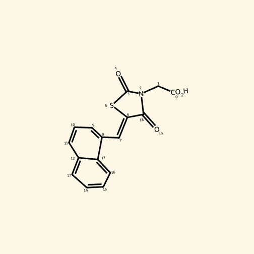 O=C(O)CN1C(=O)S/C(=C\c2cccc3ccccc23)C1=O